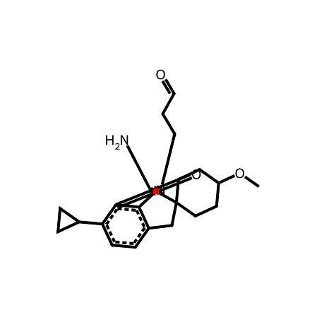 COC1CCC2(CC1)Cc1ccc(C3CC3)cc1C21N=C(N)N(CCC=O)C1=O